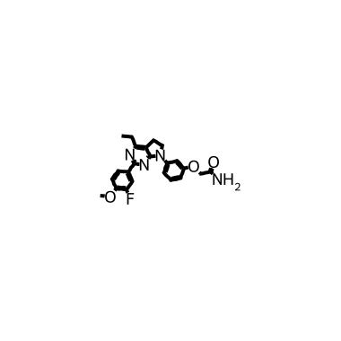 CCc1nc(-c2ccc(OC)c(F)c2)nc2c1CCN2c1cccc(OCC(N)=O)c1